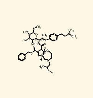 CSC1O[C@H]([C@H](NC(=O)C2[C@@H]3OCC[C@@H](CC(C)C)C[C@H]3CN2C(=O)OCc2ccccc2)[C@H](C)Sc2ccc(CCN(C)C)cc2)C(O)[C@@H](O)[C@H]1O